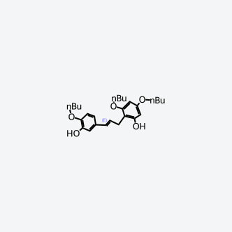 CCCCOc1cc(O)c(C/C=C/c2ccc(OCCCC)c(O)c2)c(OCCCC)c1